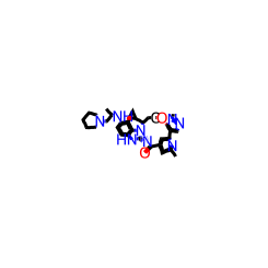 Cc1cc2cc(n1)-c1cnn(C)c1OCCC(C1CC1)N1/C(=N/C2=O)Nc2ccc(NC(C)CN3CCCCC3)c(C)c21